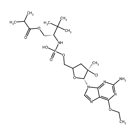 CCOc1nc(N)nc2c1ncn2[C@@H]1OC(COP(=O)(O)N[C@H](COC(=O)C(C)C)C(C)(C)C)C[C@@]1(C)Cl